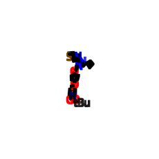 Cn1c(-c2nc(C3CCC3)cn2CCOc2ccc(OCC3CCN(C(=O)OC(C)(C)C)CC3)cc2)cc2sccc21